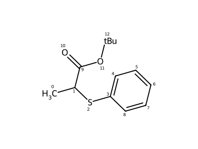 CC(Sc1ccccc1)C(=O)OC(C)(C)C